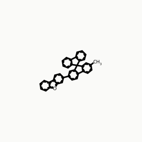 Cc1ccc2c(c1)C1(c3ccccc3-c3ccccc31)c1cc(-c3ccc4c(c3)oc3ccccc34)ccc1-2